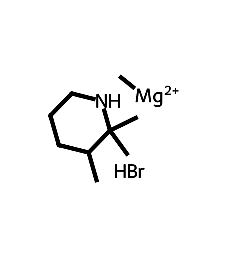 Br.CC1CCCNC1(C)C.[CH3][Mg+2]